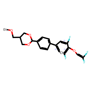 C\C=C(/C=C(F)\C(=C\F)OC=C(F)F)c1ccc(C2OCC(COCC)CO2)cc1